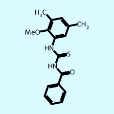 COc1c(C)cc(C)cc1NC(=S)NC(=O)c1ccccc1